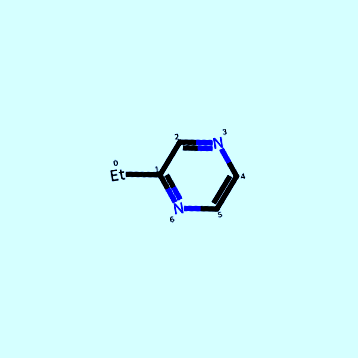 CCc1cnccn1